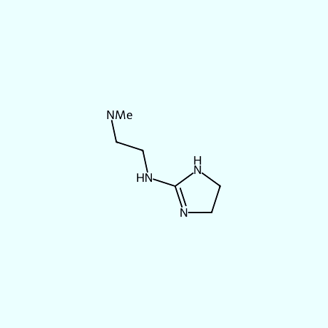 CNCCNC1=NCCN1